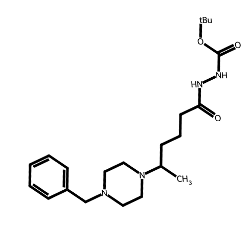 CC(CCCC(=O)NNC(=O)OC(C)(C)C)N1CCN(Cc2ccccc2)CC1